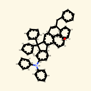 C(=C(\Cc1ccccc1)c1ccccc1)/c1cc2c(c3ccccc13)-c1ccc(N(c3ccccc3)c3ccccc3)cc1C2(c1ccccc1)c1ccccc1